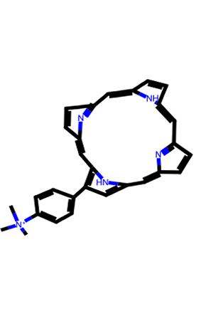 C[N+](C)(C)c1ccc(-c2cc3cc4nc(cc5ccc(cc6nc(cc2[nH]3)C=C6)[nH]5)C=C4)cc1